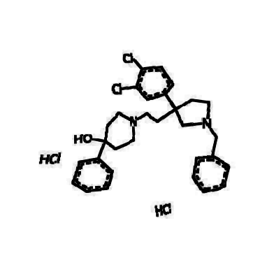 Cl.Cl.OC1(c2ccccc2)CCN(CCC2(c3ccc(Cl)c(Cl)c3)CCN(Cc3ccccc3)C2)CC1